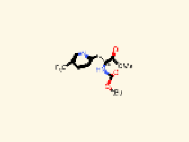 COC(=O)[C@@H](Cc1ccc(C(F)(F)F)cn1)NC(=O)OC(C)(C)C